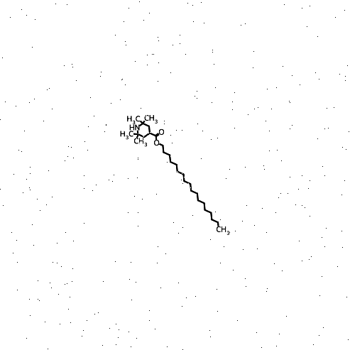 CCCCCCCCCCCCCCCCCCOC(=O)C1CC(C)(C)NC(C)(C)C1